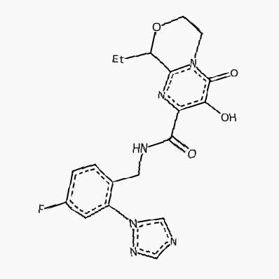 CCC1OCCn2c1nc(C(=O)NCc1ccc(F)cc1-n1cncn1)c(O)c2=O